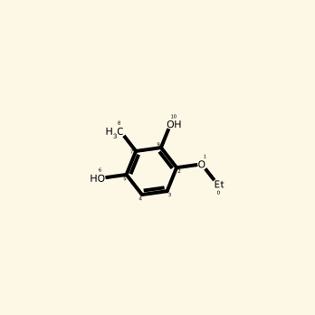 CCOc1ccc(O)c(C)c1O